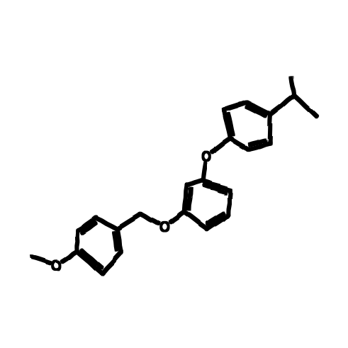 COc1ccc(COc2cccc(Oc3ccc(C(C)C)cc3)c2)cc1